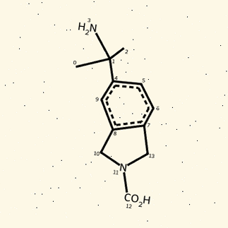 CC(C)(N)c1ccc2c(c1)CN(C(=O)O)C2